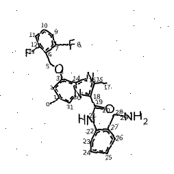 Cc1cc(OCc2c(F)cccc2F)c2nc(C)c(C(=O)Nc3ccccc3CN)n2c1